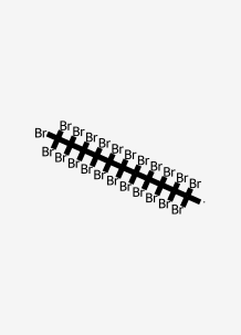 [CH2]C(Br)(Br)C(Br)(Br)C(Br)(Br)C(Br)(Br)C(Br)(Br)C(Br)(Br)C(Br)(Br)C(Br)(Br)C(Br)(Br)C(Br)(Br)C(Br)(Br)Br